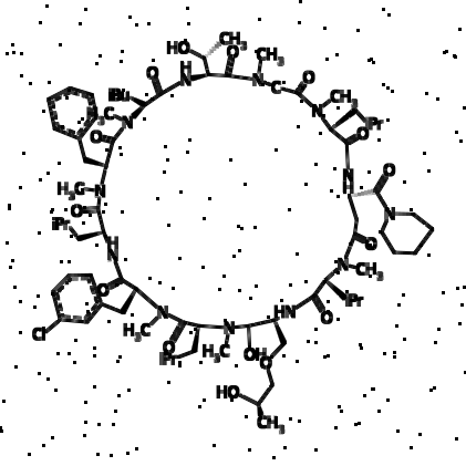 CC[C@H](C)[C@H]1C(=O)N[C@@H]([C@@H](C)O)C(=O)N(C)CC(=O)N(C)[C@@H](CC(C)C)C(=O)N[C@H](C(=O)N2CCCCC2)CC(=O)N(C)[C@@H](C(C)C)C(=O)N[C@@H](COC[C@@H](C)O)C(O)N(C)[C@@H](CC(C)C)C(=O)N(C)[C@@H](Cc2cccc(Cl)c2)C(=O)N[C@@H](CC(C)C)C(=O)N(C)[C@@H](Cc2ccccc2)C(=O)N1C